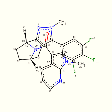 Cn1nc2c(c1-c1cc(F)c(F)c(F)c1)C[C@@H]1CC[C@H]2N1C(=O)c1cn(C)c2ncccc12